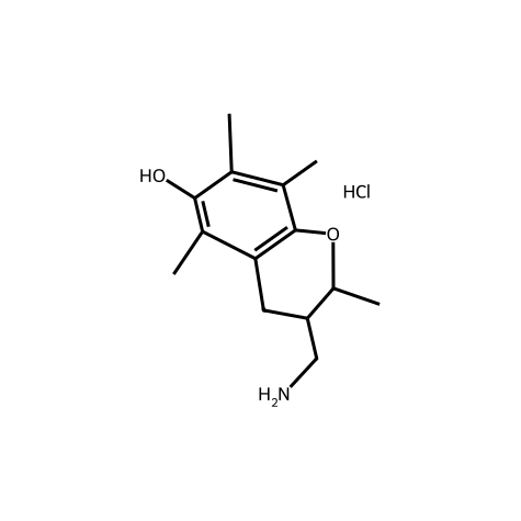 Cc1c(C)c2c(c(C)c1O)CC(CN)C(C)O2.Cl